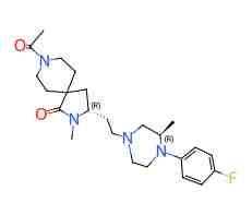 CC(=O)N1CCC2(CC1)C[C@H](CCN1CCN(c3ccc(F)cc3)[C@H](C)C1)N(C)C2=O